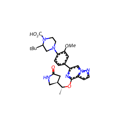 COc1cc(-c2cn3nccc3c(O[C@H](C)[C@H]3CNC(=O)C3)n2)ccc1N1CCN(C(=O)O)C(C(C)(C)C)C1